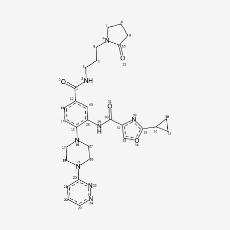 O=C(NCCCN1CCCC1=O)c1ccc(N2CCN(c3cccnn3)CC2)c(NC(=O)c2coc(C3CC3)n2)c1